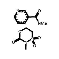 CN1C(=O)OCCS1(=O)=O.CNC(=O)c1cccnc1